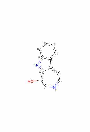 Oc1cnccc2c3ccccc3nc1-2